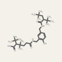 CC(C)(C)CC(C(=O)NCc1ccc(O)c(CNC(=O)CCC(C)(C)C(C(=O)O)C(C)(C)N)c1)C(C)(C)C